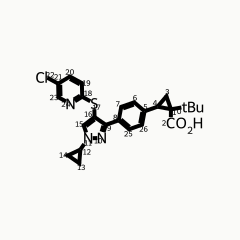 CC(C)(C)C1(C(=O)O)CC1c1ccc(-c2nn(C3CC3)cc2Sc2ccc(Cl)cn2)cc1